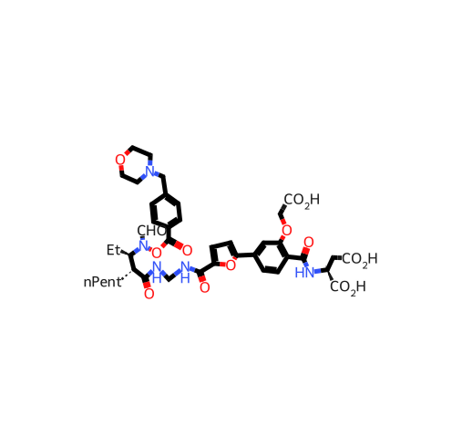 CCCCC[C@@H](C(=O)NCNC(=O)c1ccc(-c2ccc(C(=O)N[C@@H](CC(=O)O)C(=O)O)c(OCC(=O)O)c2)o1)[C@@H](CC)N(C=O)OC(=O)c1ccc(CN2CCOCC2)cc1